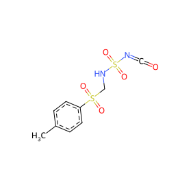 Cc1ccc(S(=O)(=O)CNS(=O)(=O)N=C=O)cc1